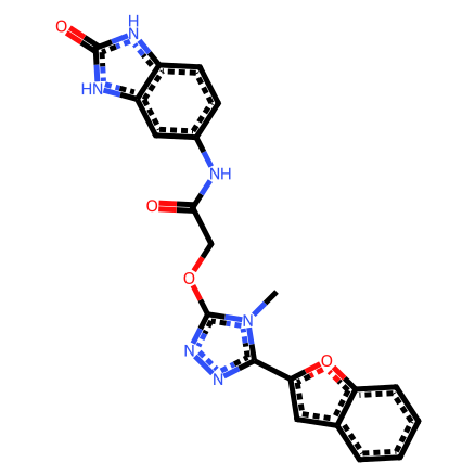 Cn1c(OCC(=O)Nc2ccc3[nH]c(=O)[nH]c3c2)nnc1-c1cc2ccccc2o1